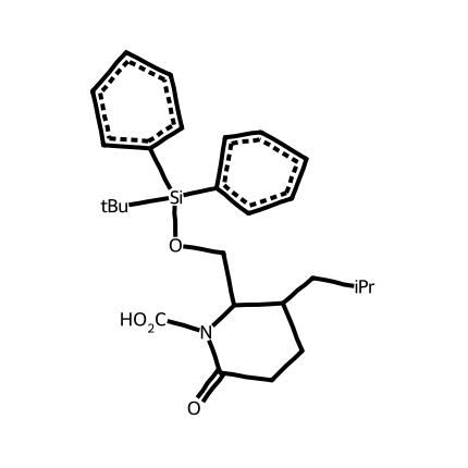 CC(C)CC1CCC(=O)N(C(=O)O)C1CO[Si](c1ccccc1)(c1ccccc1)C(C)(C)C